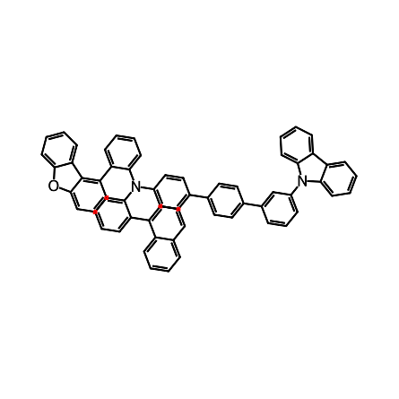 c1cc(-c2ccc(-c3ccc(N(c4ccccc4-c4cccc5ccccc45)c4ccccc4-c4cccc5oc6ccccc6c45)cc3)cc2)cc(-n2c3ccccc3c3ccccc32)c1